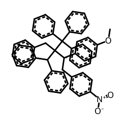 COc1ccc([C](Cc2ccc([N+](=O)[O-])cc2)C(Cc2ccccc2)(C(c2ccccc2)c2ccccc2)C(c2ccccc2)(c2ccccc2)c2ccccc2)cc1